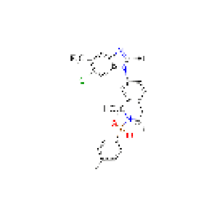 CCc1nc2cc(C(F)(F)F)c(Cl)cc2n1-c1ccc(C[C@H](C)N(C(=O)O)S(=O)(=O)c2ccc(C)cc2)cc1